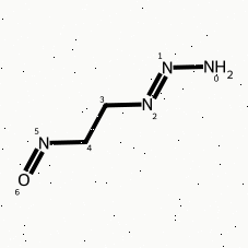 NN=NCCN=O